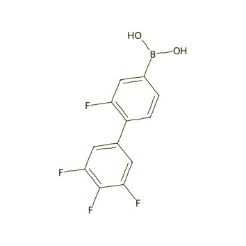 OB(O)c1ccc(-c2cc(F)c(F)c(F)c2)c(F)c1